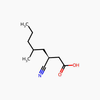 CCCC(C)C[C@H](C#N)CC(=O)O